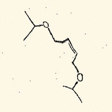 CC(C)OC/C=C\COC(C)C